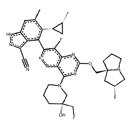 Cc1cc2[nH]nc(C#N)c2c(-c2ncc3c(N4CCC[C@](O)(CF)C4)nc(OC[C@@]45CCCN4C[C@H](F)C5)nc3c2F)c1[C@H]1C[C@H]1C